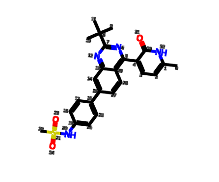 Cc1ccc(-c2nc(C(C)(C)C)nc3cc(-c4ccc(NS(C)(=O)=O)cc4)ccc23)c(=O)[nH]1